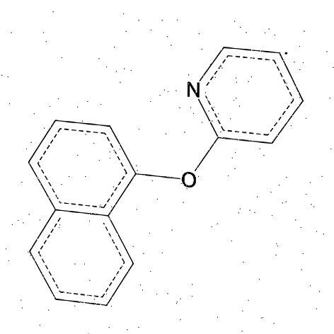 [c]1ccc(Oc2cccc3ccccc23)nc1